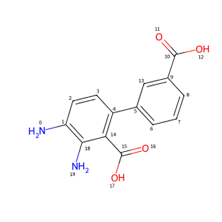 Nc1ccc(-c2cccc(C(=O)O)c2)c(C(=O)O)c1N